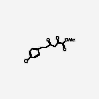 COC(=O)C(=O)CC(=O)CCc1ccc(Cl)cc1